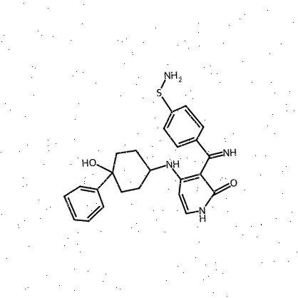 N=C(c1ccc(SN)cc1)c1c(NC2CCC(O)(c3ccccc3)CC2)cc[nH]c1=O